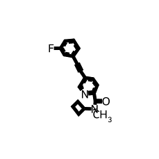 CN(C(=O)c1ccc(C#Cc2cccc(F)c2)cn1)C1CCC1